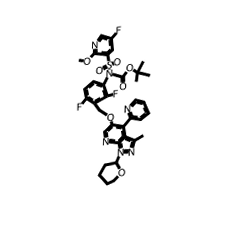 COc1ncc(F)cc1S(=O)(=O)N(C(=O)OC(C)(C)C)c1ccc(F)c(COc2cnc3c(c(C)nn3C3CCCCO3)c2-c2ccccn2)c1F